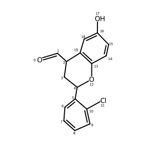 O=CC1CC(c2ccccc2Cl)Oc2ccc(O)cc21